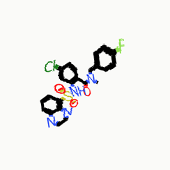 CN(Cc1ccc(F)cc1)C(=O)c1ccc(Cl)cc1NS(=O)(=O)c1cccc2nccnc12